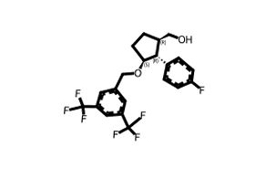 OC[C@@H]1CC[C@H](OCc2cc(C(F)(F)F)cc(C(F)(F)F)c2)[C@H]1c1ccc(F)cc1